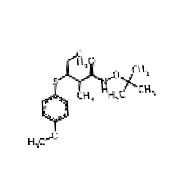 CCC(Sc1ccc(OC)cc1)C(C)C(=O)NOC(C)(C)C